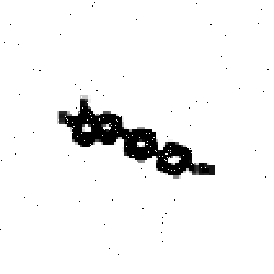 CCCC[C@H]1CC[C@H](c2ccc(-c3ccc4c(F)c(F)ccc4c3)cc2)CC1